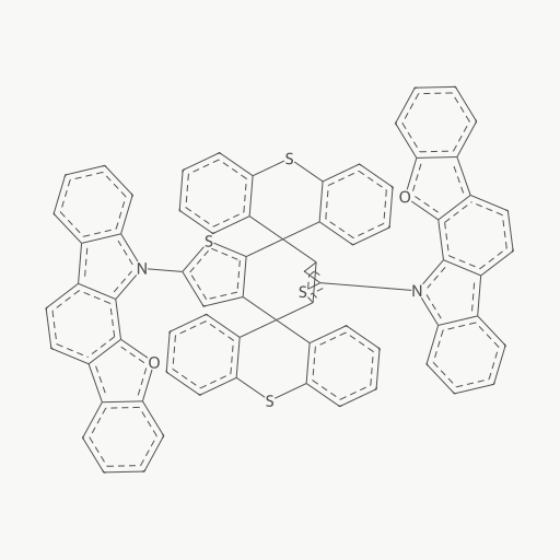 c1ccc2c(c1)Sc1ccccc1C21c2cc(-n3c4ccccc4c4ccc5c6ccccc6oc5c43)sc2C2(c3ccccc3Sc3ccccc32)c2cc(-n3c4ccccc4c4ccc5c6ccccc6oc5c43)sc21